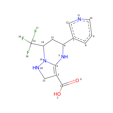 O=C(O)C1=C2NC(c3cccnc3)CC(C(F)(F)F)N2NC1